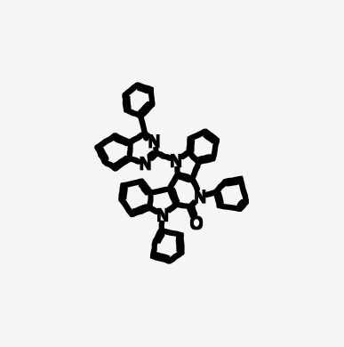 O=c1c2c(c3ccccc3n2-c2ccccc2)c2c(c3ccccc3n2-c2nc(-c3ccccc3)c3ccccc3n2)n1-c1ccccc1